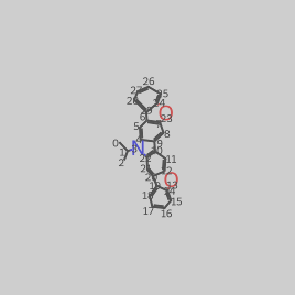 CC(C)n1c2cc3c(cc2c2cc4oc5ccccc5c4cc21)oc1ccccc13